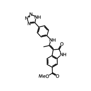 COC(=O)c1ccc2c(c1)NC(=O)/C2=C(/C)Nc1ccc(-c2nnn[nH]2)cc1